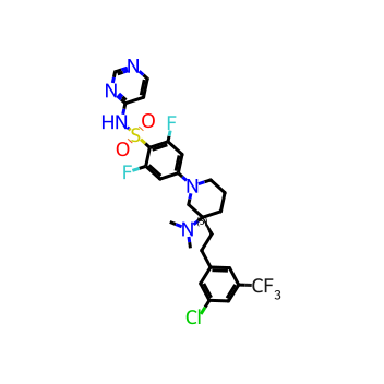 CN(C)[C@@]1(CCc2cc(Cl)cc(C(F)(F)F)c2)CCCN(c2cc(F)c(S(=O)(=O)Nc3ccncn3)c(F)c2)C1